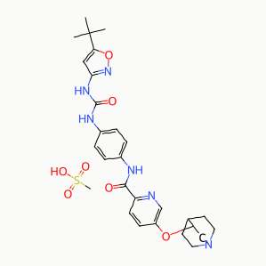 CC(C)(C)c1cc(NC(=O)Nc2ccc(NC(=O)c3ccc(OC4CN5CCC4CC5)cn3)cc2)no1.CS(=O)(=O)O